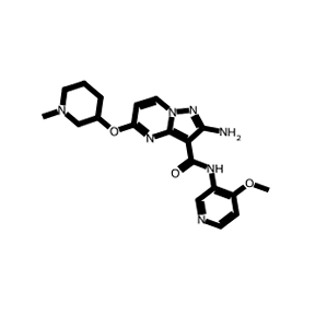 COc1ccncc1NC(=O)c1c(N)nn2ccc(OC3CCCN(C)C3)nc12